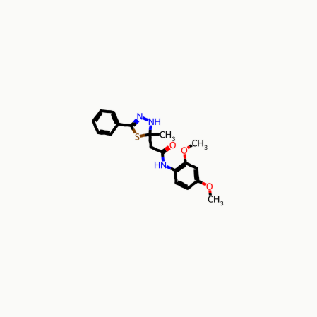 COc1ccc(NC(=O)CC2(C)NN=C(c3ccccc3)S2)c(OC)c1